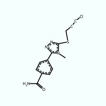 Cn1c(SCCCCl)nnc1-c1ccc(C(N)=O)cc1